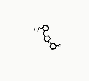 Cc1ccccc1CN1CCN(c2cccc(Cl)c2)CC1